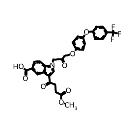 COC(=O)CCC(=O)c1cn(CC(=O)COc2ccc(Oc3ccc(C(F)(F)F)cc3)cc2)c2ccc(C(=O)O)cc12